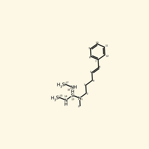 CN(CCCC=Cc1ccccc1)[SiH](N[SiH3])N[SiH3]